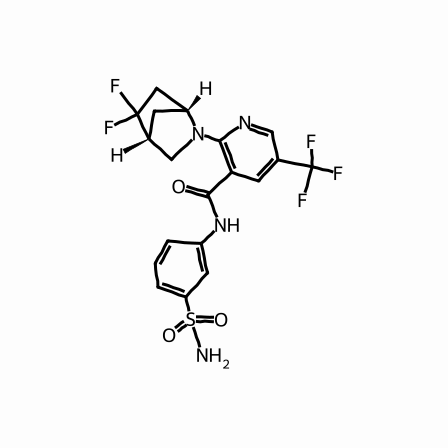 NS(=O)(=O)c1cccc(NC(=O)c2cc(C(F)(F)F)cnc2N2C[C@H]3C[C@@H]2CC3(F)F)c1